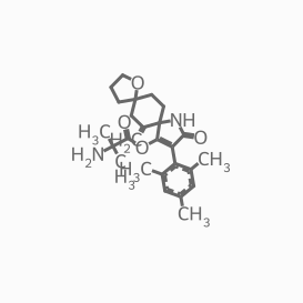 C=C1CC2(CCCO2)CCC12NC(=O)C(c1c(C)cc(C)cc1C)=C2OC(=O)C(C)(C)N